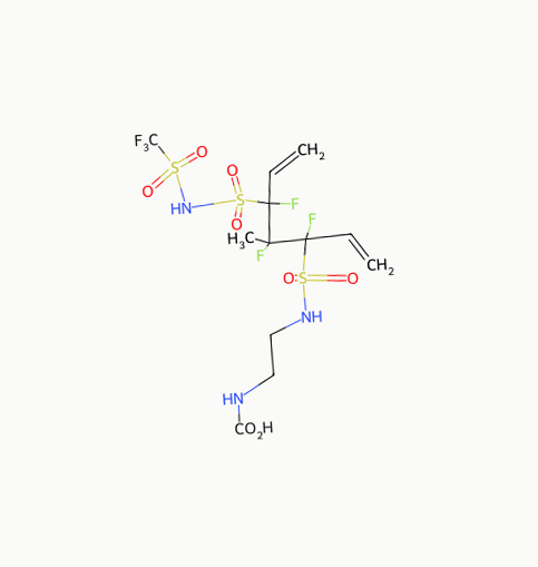 C=CC(F)(C(C)(F)C(F)(C=C)S(=O)(=O)NS(=O)(=O)C(F)(F)F)S(=O)(=O)NCCNC(=O)O